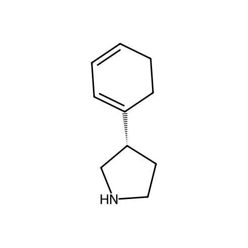 C1=CCCC([C@@H]2CCNC2)=C1